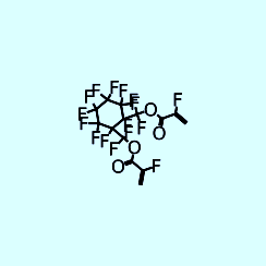 C=C(F)C(=O)OC(F)(F)C1(F)C(F)(F)C(F)(F)C(F)(F)C(F)(F)C1(F)C(F)(F)OC(=O)C(=C)F